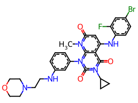 Cn1c(=O)cc(Nc2ccc(Br)cc2F)c2c(=O)n(C3CC3)c(=O)n(-c3cccc(NCCN4CCOCC4)c3)c21